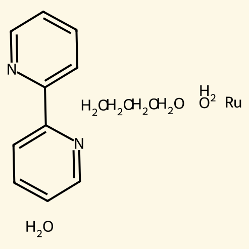 O.O.O.O.O.O.[Ru].c1ccc(-c2ccccn2)nc1